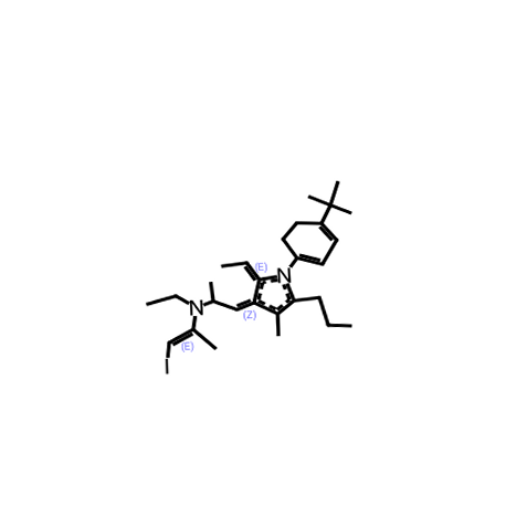 C/C=c1\c(=C/C(C)N(CC)/C(C)=C/I)c(C)c(CCC)n1C1=CC=C(C(C)(C)C)CC1